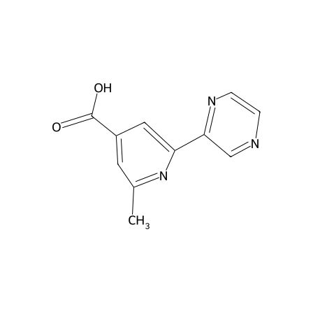 Cc1cc(C(=O)O)cc(-c2cnccn2)n1